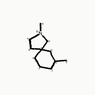 CC1CCCC2(CCN(C)C2)C1